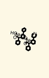 O=C(NO)C(c1ccccc1)c1cccc(-c2ccccc2)c1.O=C(NO)C(c1ccccc1)c1cccc(-c2ccncc2)c1